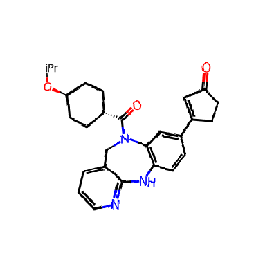 CC(C)O[C@H]1CC[C@H](C(=O)N2Cc3cccnc3Nc3ccc(C4=CC(=O)CC4)cc32)CC1